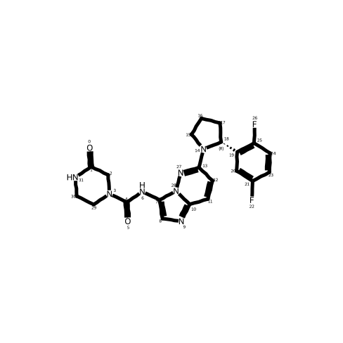 O=C1CN(C(=O)Nc2cnc3ccc(N4CCC[C@@H]4c4cc(F)ccc4F)nn23)CCN1